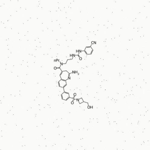 CCCN(CCCNC(=O)Nc1cccc(C#N)c1)C(=O)C1=Cc2ccc(-c3cccc(S(=O)(=O)N4CC(CO)C4)c3)cc2N=C(N)C1